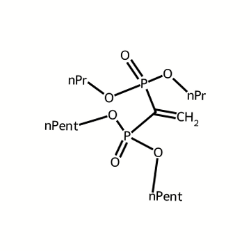 C=C(P(=O)(OCCC)OCCC)P(=O)(OCCCCC)OCCCCC